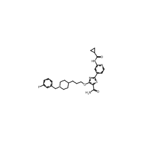 NC(=O)c1sc(-c2ccnc(NC(=O)C3CC3)c2)nc1OCCCC1CCN(Cc2cccc(F)c2)CC1